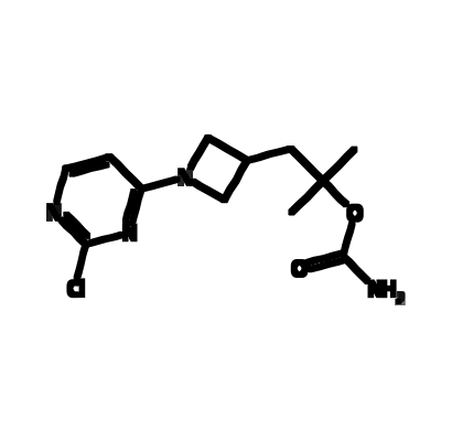 CC(C)(CC1CN(c2ccnc(Cl)n2)C1)OC(N)=O